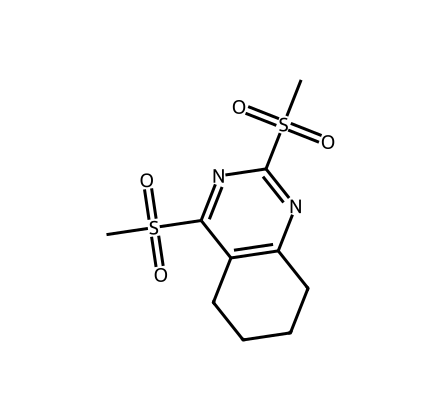 CS(=O)(=O)c1nc2c(c(S(C)(=O)=O)n1)CCCC2